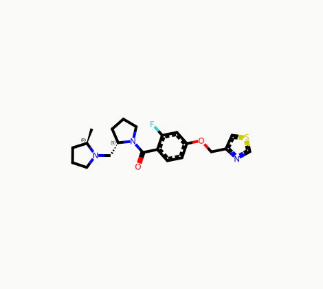 C[C@@H]1CCCN1C[C@@H]1CCCN1C(=O)c1ccc(OCc2cscn2)cc1F